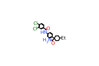 CCC1CCC(C(N)=O)(c2ccc(NC(=O)c3ccc(Cl)c(Cl)c3)cc2)CC1